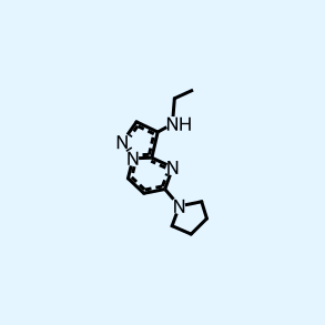 CCNc1cnn2ccc(N3CCCC3)nc12